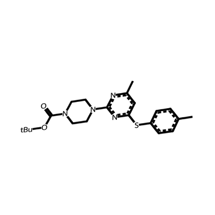 Cc1ccc(Sc2cc(C)nc(N3CCN(C(=O)OC(C)(C)C)CC3)n2)cc1